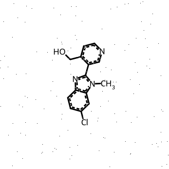 Cn1c(-c2cnccc2CO)nc2ccc(Cl)cc21